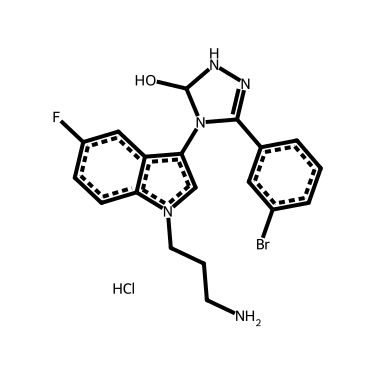 Cl.NCCCn1cc(N2C(c3cccc(Br)c3)=NNC2O)c2cc(F)ccc21